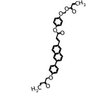 C=CC(=O)COc1ccc(-c2ccc3cc(/C=C/C(=O)Oc4ccc(OCOC(=O)C=C)cc4)ccc3c2)cc1